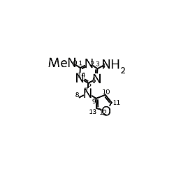 CNc1nc(N)nc(N(C)c2ccoc2)n1